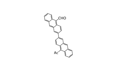 CC(=O)c1c2ccccc2cc2cc(-c3ccc4c(C=O)c5ccccc5cc4c3)ccc12